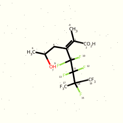 CC(C(=O)O)=C(CC(C)O)C(F)(F)C(F)(F)C(F)(C(F)(F)F)C(F)(F)F